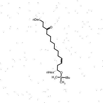 CCCCCCCCCCCCC(=O)CCCCCCC/C=C\C[C@@H](CCCCCC)O[Si](C)(C)C(C)(C)C